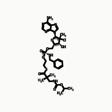 CC(C)OC(=O)NCC(C)(C)C(=O)SCCO[P@](=O)(NCc1ccccc1)OC[C@H]1O[C@@H](n2cnc3c(N)ncnc32)[C@](C)(Cl)[C@@H]1O